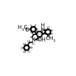 COc1cccc(C23CCN(CCc4ccccc4)CC2(O)Cc2c([nH]c4cccc(C)c24)C3)c1